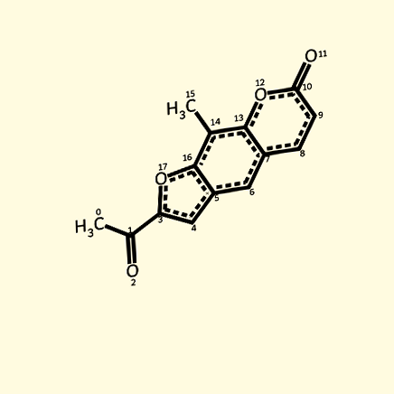 CC(=O)c1cc2cc3ccc(=O)oc3c(C)c2o1